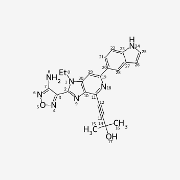 CCn1c(-c2nonc2N)nc2c(C#CC(C)(C)O)nc(-c3ccc4[nH]ccc4c3)cc21